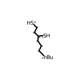 CCCCCCCC(S)CCS